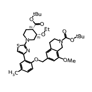 CCO[C@@H]1CN(c2nc(-c3cc(C)ccc3OCc3cc4c(c(OC)c3)CN(C(=O)OC(C)(C)C)CC4)cs2)CC[C@@H]1C(=O)OC(C)(C)C